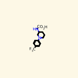 O=C(O)NC1CCCN(c2ccc(C(F)(F)F)cc2)C1